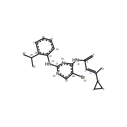 C=C(/C=C(\C)C1CC1)Nc1nc(Nc2ccccc2C(C)C)ncc1Br